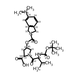 CC(C)[C@H](NC(=O)OC(C)(C)C)C(=O)N1C[C@H](OC(=O)N2Cc3ccc(N(C)C)cc3C2)C[C@H]1C(=O)O